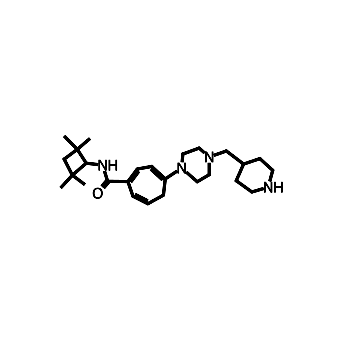 CC1(C)CC(C)(C)C1NC(=O)C1=CC=C(N2CCN(CC3CCNCC3)CC2)CC=C1